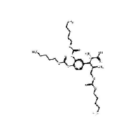 CCCCCOC(=O)OCC(C)C(c1ccc(OC(=O)OCCCCC)c(OC(=O)OCCCCC)c1)[C@H](N)C(=O)O